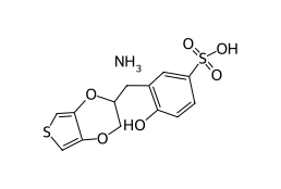 N.O=S(=O)(O)c1ccc(O)c(CC2COc3cscc3O2)c1